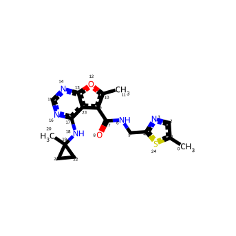 Cc1cnc(CNC(=O)c2c(C)oc3ncnc(NC4(C)CC4)c23)s1